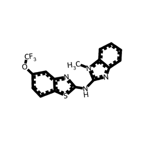 Cn1c(Nc2nc3cc(OC(F)(F)F)ccc3s2)nc2ccccc21